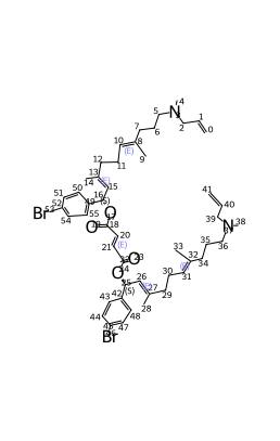 C=CCN(C)CCC/C(C)=C/CC/C(C)=C/[C@H](OC(=O)/C=C/C(=O)O[C@@H](/C=C(\C)CC/C=C(\C)CCCN(C)CC=C)c1ccc(Br)cc1)c1ccc(Br)cc1